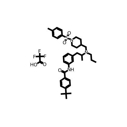 CCCN(CC1CCN(S(=O)(=O)c2ccc(C)cc2)CC1)C(C)Cc1cccc(NC(=O)c2ccc(C(C)(C)C)cc2)c1.O=C(O)C(F)(F)F